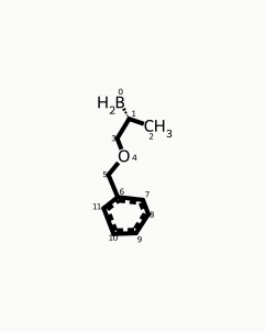 B[C@H](C)COCc1ccccc1